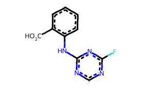 O=C(O)c1ccccc1Nc1n[c]nc(F)n1